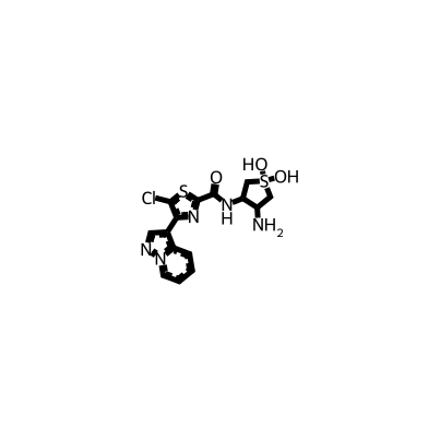 NC1CS(O)(O)CC1NC(=O)c1nc(-c2cnn3ccccc23)c(Cl)s1